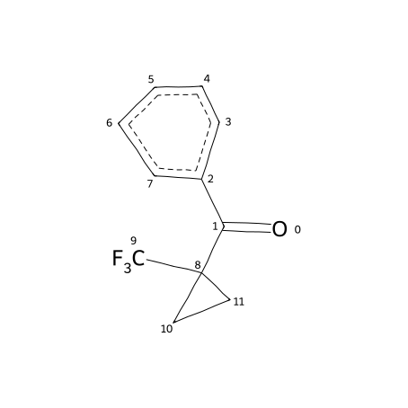 O=C(c1ccccc1)C1(C(F)(F)F)CC1